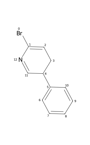 BrC1=CCC(c2ccccc2)C=N1